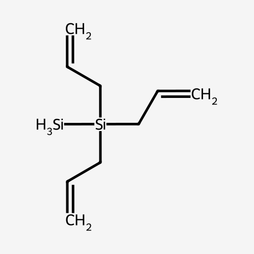 C=CC[Si]([SiH3])(CC=C)CC=C